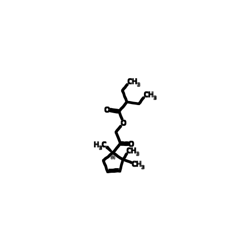 CCC(CC)C(=O)OCC(=O)[C@@]1(C)CC=CC1(C)C